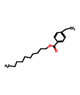 CCCCCCCCCCOC(=O)c1ccc(CC)cc1